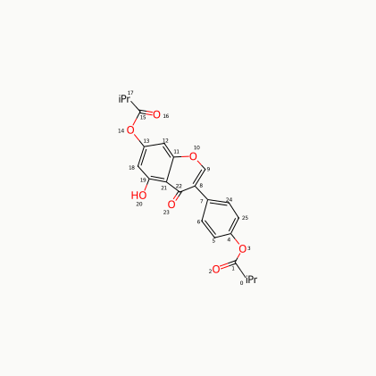 CC(C)C(=O)Oc1ccc(-c2coc3cc(OC(=O)C(C)C)cc(O)c3c2=O)cc1